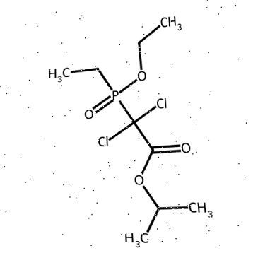 CCOP(=O)(CC)C(Cl)(Cl)C(=O)OC(C)C